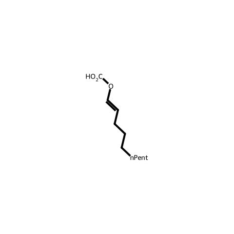 CCCCCCCCC=COC(=O)O